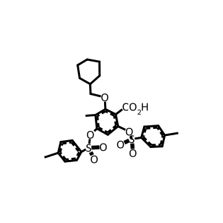 Cc1ccc(S(=O)(=O)Oc2cc(OS(=O)(=O)c3ccc(C)cc3)c(C(=O)O)c(OCC3CCCCC3)c2C)cc1